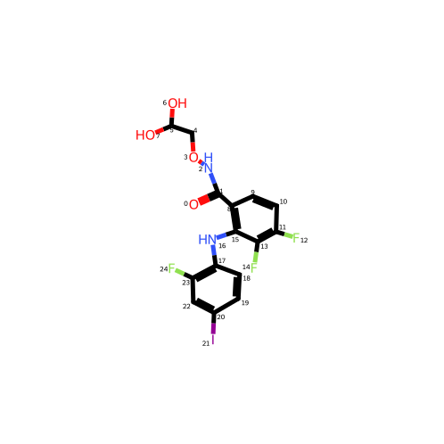 O=C(NOCC(O)O)c1ccc(F)c(F)c1Nc1ccc(I)cc1F